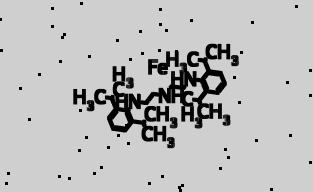 CC(C)c1cccc(C(C)C)c1NCCNCCNc1c(C(C)C)cccc1C(C)C.[Fe]